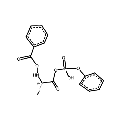 C[C@H](NOC(=O)c1ccccc1)C(=O)OP(=O)(O)Oc1ccccc1